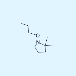 CCCON1CCCC1(C)C